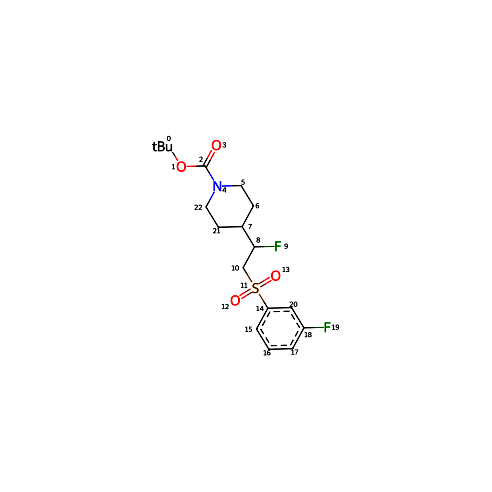 CC(C)(C)OC(=O)N1CCC(C(F)CS(=O)(=O)c2cccc(F)c2)CC1